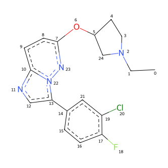 CCN1CCC(Oc2ccc3ncc(-c4ccc(F)c(Cl)c4)n3n2)C1